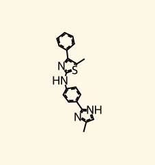 Cc1c[nH]c(-c2ccc(Nc3nc(-c4ccccc4)c(C)s3)cc2)n1